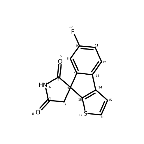 O=C1CC2(C(=O)N1)c1cc(F)ccc1-c1ccsc12